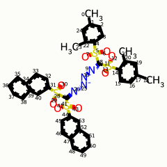 Cc1ccc(S(=O)(=O)C(=[N+]=[N-])S(=O)(=O)c2ccc(C)cc2C)c(C)c1.[N-]=[N+]=C(S(=O)(=O)c1ccc2ccccc2c1)S(=O)(=O)c1ccc2ccccc2c1